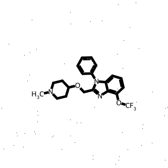 CN1CCC(OCc2nc3c(OC(F)(F)F)cccc3n2-c2ccccc2)CC1